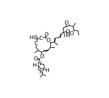 CCC(O)C(C)C1OC1CC(C)(O)/C=C/C=C(\C)C1OC(=O)C[C@H](O)CCC(C)C(OC(=O)N2C[C@@H]3C[C@H]2CN3C(C)C)/C=C/C1C